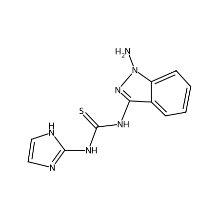 Nn1nc(NC(=S)Nc2ncc[nH]2)c2ccccc21